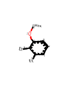 CCCCCCOc1[c]ccc(CC)c1CC